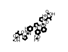 COC(=O)N[C@H](C(=O)N1CCC[C@H]1c1nc2cc([C@H]3CC[C@@H](n4c([C@@H]5CCCN5C(=O)[C@@H](NC(=O)O)C(C)C)nc5ccccc54)N3c3ccc(OC(F)(F)F)cc3)ccc2[nH]1)C(C)C